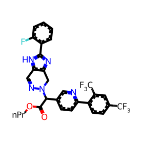 CCCOC(=O)C(c1ccc(-c2ccc(C(F)(F)F)cc2C(F)(F)F)nc1)N1Cc2nc(-c3ccccc3F)[nH]c2C=N1